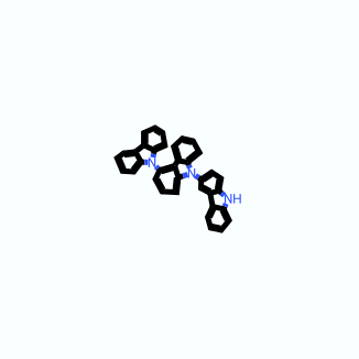 c1ccc2c(c1)[nH]c1ccc(-n3c4ccccc4c4c(-n5c6ccccc6c6ccccc65)cccc43)cc12